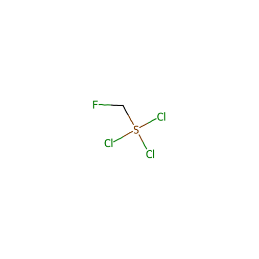 FCS(Cl)(Cl)Cl